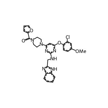 COc1ccc(Oc2cc(N3CCN(C(=O)c4ccco4)CC3)nc(NCc3nc4ccccc4[nH]3)n2)c(Cl)c1